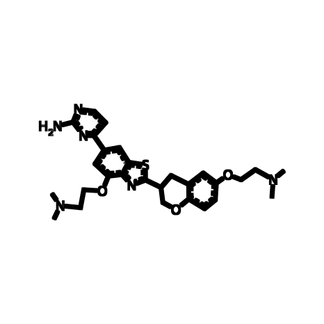 CN(C)CCOc1ccc2c(c1)CC(c1nc3c(OCCN(C)C)cc(-c4ccnc(N)n4)cc3s1)CO2